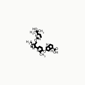 Cc1nc(-c2nnn(C)c2COc2nccc(C(C)(C)O)n2)ccc1O[C@@H]1C[C@H]2CC[C@@H](C(=O)O)[C@H]2C1